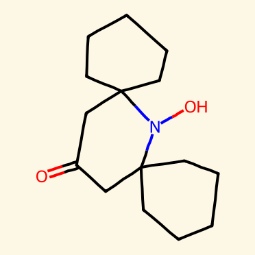 O=C1CC2(CCCCC2)N(O)C2(CCCCC2)C1